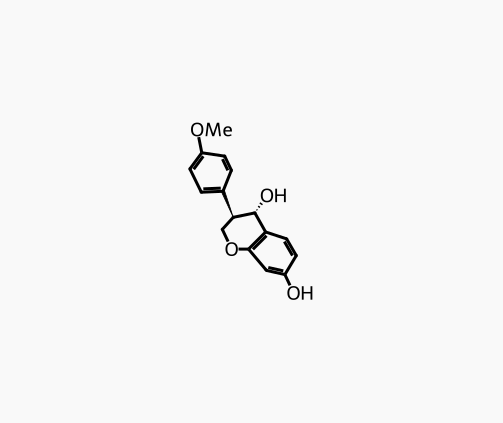 COc1ccc([C@@H]2COc3cc(O)ccc3[C@H]2O)cc1